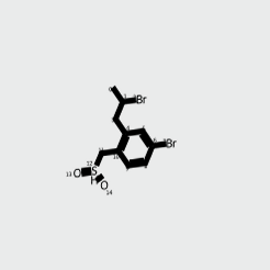 CC(Br)Cc1cc(Br)ccc1C[SH](=O)=O